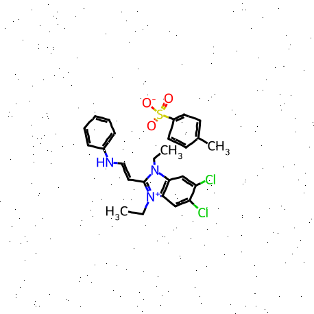 CCn1c(C=CNc2ccccc2)[n+](CC)c2cc(Cl)c(Cl)cc21.Cc1ccc(S(=O)(=O)[O-])cc1